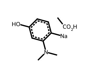 CC(=O)O.CN(C)c1cc(O)cc[c]1[Na]